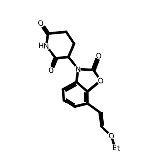 CCO/C=C/c1cccc2c1oc(=O)n2C1CCC(=O)NC1=O